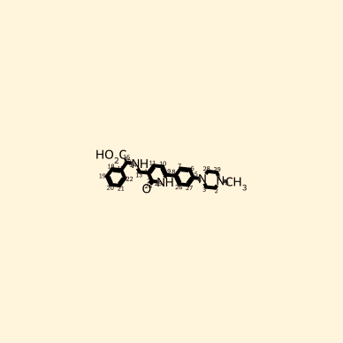 CN1CCN(c2ccc(-c3ccc(CN[C@H](C(=O)O)c4ccccc4)c(=O)[nH]3)cc2)CC1